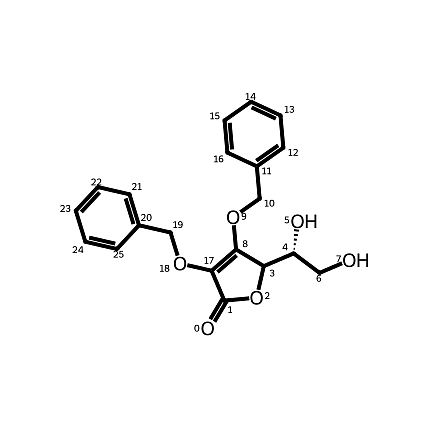 O=C1OC([C@H](O)CO)C(OCc2ccccc2)=C1OCc1ccccc1